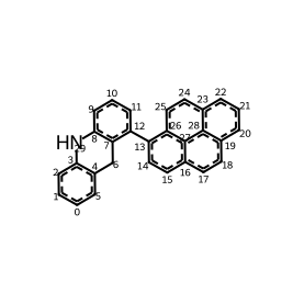 c1ccc2c(c1)Cc1c(cccc1-c1ccc3ccc4cccc5ccc1c3c45)N2